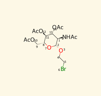 CC(=O)N[C@H]1[C@H](OCCBr)O[C@H](COC(C)=O)[C@@H](OC(C)=O)[C@@H]1OC(C)=O